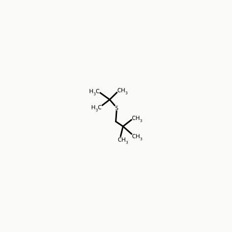 CC(C)(C)CSC(C)(C)C